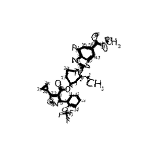 CC[C@@H]1C[C@H](OC(=O)c2c(-c3ccccc3OC(F)(F)F)noc2C2CC2)CCN1c1nc2c(F)cc(C(=O)OC)cc2s1